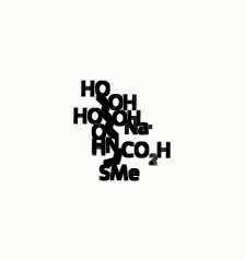 CSCC[C@H](NC[C@H](O)[C@@H](O)[C@H](O)[C@H](O)CO)C(=O)O.[Na]